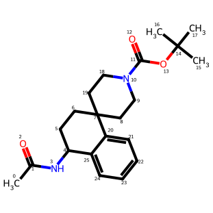 CC(=O)NC1CCC2(CCN(C(=O)OC(C)(C)C)CC2)c2ccccc21